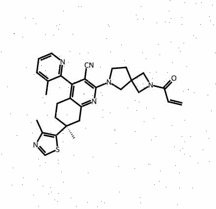 C=CC(=O)N1CC2(CCN(c3nc4c(c(-c5ncccc5C)c3C#N)CC[C@](C)(c3scnc3C)C4)C2)C1